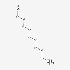 CCCCCCCCCC[P]